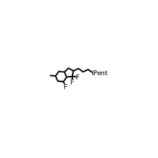 CCCC(C)CCCC1CC2CC(C)CC(F)C2C1(F)F